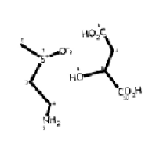 C[S+]([O-])CCN.O=C(O)CC(O)C(=O)O